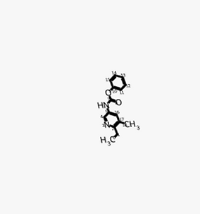 CCc1ncc(NC(=O)Oc2ccccc2)cc1C